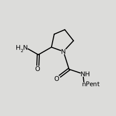 CCCCCNC(=O)N1CCCC1C(N)=O